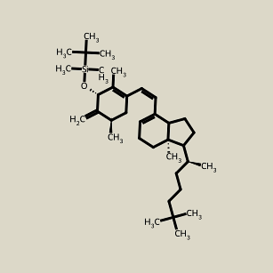 C=C1[C@H](O[Si](C)(C)C(C)(C)C)C(C)=C(/C=C\C2=CCC[C@@]3(C)C2CCC3[C@@H](C)CCCC(C)(C)C)C[C@H]1C